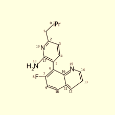 CC(C)Cc1ccc(-c2c(F)ccc3cccnc23)c(N)n1